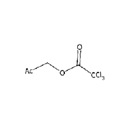 CC(=O)COC(=O)C(Cl)(Cl)Cl